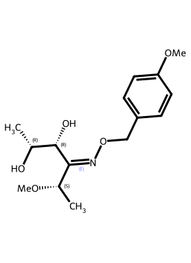 COc1ccc(CO/N=C(/[C@H](C)OC)[C@@H](O)[C@@H](C)O)cc1